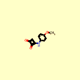 COc1ccc(Nc2cc(=O)c2=O)cc1